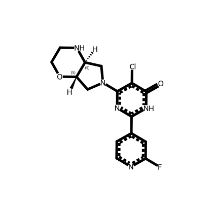 O=c1[nH]c(-c2ccnc(F)c2)nc(N2C[C@@H]3NCCO[C@H]3C2)c1Cl